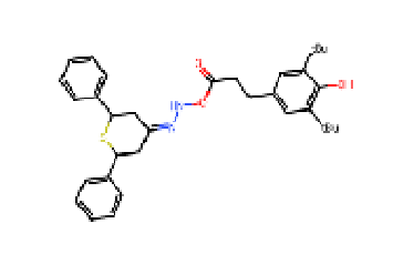 CC(C)(C)c1cc(CCC(=O)ONN=C2CC(c3ccccc3)SC(c3ccccc3)C2)cc(C(C)(C)C)c1O